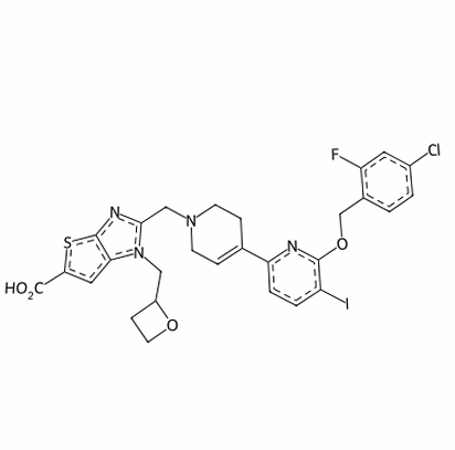 O=C(O)c1cc2c(nc(CN3CC=C(c4ccc(I)c(OCc5ccc(Cl)cc5F)n4)CC3)n2CC2CCO2)s1